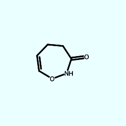 O=C1CCC=CON1